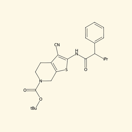 CC(C)C(C(=O)Nc1sc2c(c1C#N)CCN(C(=O)OC(C)(C)C)C2)c1ccccc1